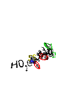 O=C(O)CN1C(=O)C(=Cc2ccc(-c3cc(Cl)cc(Cl)c3)o2)SC1=S